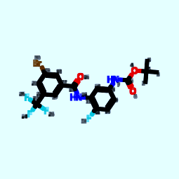 CC(C)(C)OC(=O)Nc1ccc(F)c(NC(=O)c2cc(Br)cc(C(F)(F)F)c2)c1